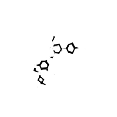 CC1(O)CC(n2cnc3cc(OC[C@@H]4C[C@H](c5ccc(C(F)(F)F)cc5)C[C@H](CCF)N4)cc(C(F)(F)F)c32)C1